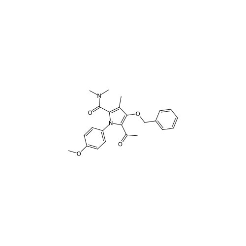 COc1ccc(-n2c(C(=O)N(C)C)c(C)c(OCc3ccccc3)c2C(C)=O)cc1